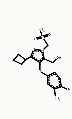 Cc1cc(Oc2c(C3CCC3)nn(CS(C)(=O)=O)c2CO)ccc1C#N